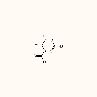 CCC(=O)O[C@@H](C)[C@@H](C)OC(=O)CC